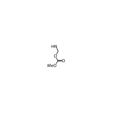 COC(=O)OC[NH]